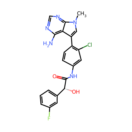 Cn1cc(-c2ccc(NC(=O)[C@H](O)c3cccc(F)c3)cc2Cl)c2c(N)ncnc21